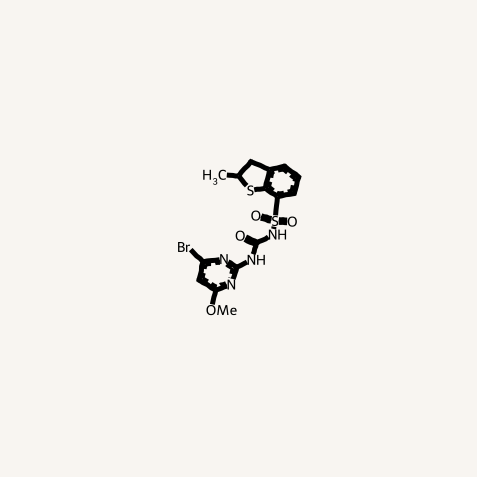 COc1cc(Br)nc(NC(=O)NS(=O)(=O)c2cccc3c2SC(C)C3)n1